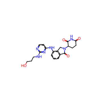 O=C1CCC(N2Cc3c(Nc4ccnc(NCCCO)n4)cccc3C2=O)C(=O)N1